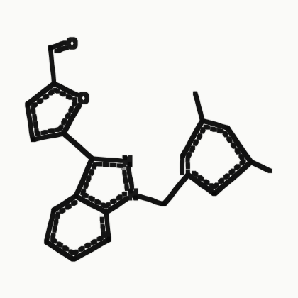 Cc1cc(C)cc(Cn2nc(-c3ccc(C=O)o3)c3ccccc32)c1